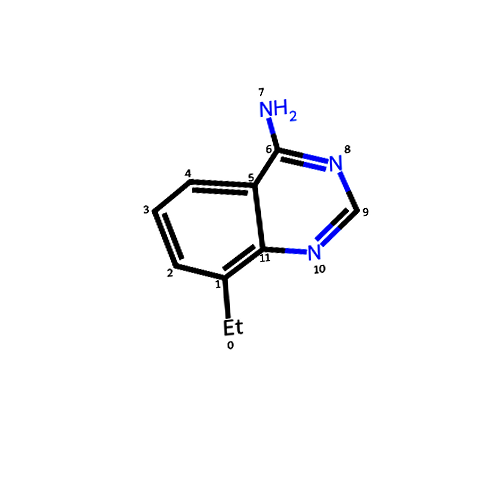 CCc1cccc2c(N)ncnc12